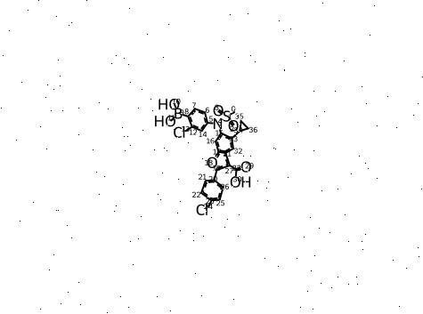 CS(=O)(=O)N(c1ccc(B(O)O)c(Cl)c1)c1cc2oc(-c3ccc(Cl)cc3)c(C(=O)O)c2cc1C1CC1